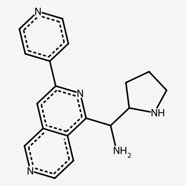 NC(c1nc(-c2ccncc2)cc2cnccc12)C1CCCN1